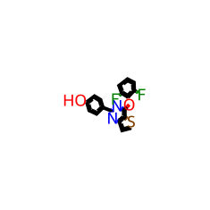 Oc1ccc(-c2nc(Oc3c(F)cccc3F)c3sccc3n2)cc1